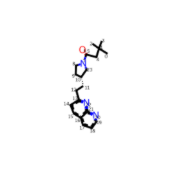 CC(C)(C)CC(=O)N1CC[C@@H](CCc2ccc3cccnc3n2)C1